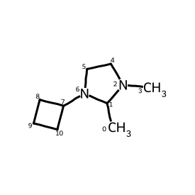 CC1N(C)CCN1C1CCC1